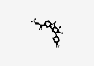 CN(C)C=CC(=O)c1ccc2c(c1)c1cc(-c3ccc(Br)cc3)c(=O)n(C)c1n2C